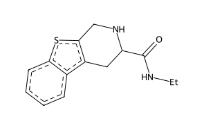 CCNC(=O)C1Cc2c(sc3ccccc23)CN1